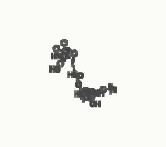 Cc1ncsc1-c1ccc(CNC(=O)[C@@H]2C[C@@H](O)CN2C(=O)[C@@H](NC(=O)CCOCCC(=O)NCCCCC#Cc2cccc(Cn3c(-c4ccccc4)c(-c4ccccc4)c4c(=N)n(C5CCC(O)CC5)cnc43)c2)C(C)(C)C)cc1